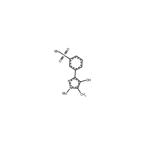 Cc1c(O)c(-c2cccc(S(=O)(=O)C(C)(C)C)c2)nn1C(C)(C)C